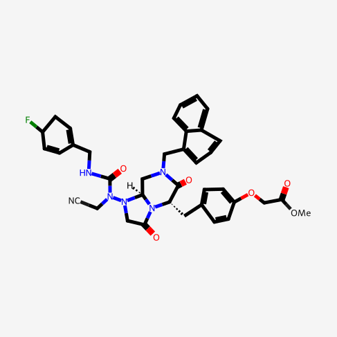 COC(=O)COc1ccc(C[C@H]2C(=O)N(Cc3cccc4ccccc34)C[C@H]3N2C(=O)CN3N(CC#N)C(=O)NCC2=CCC(F)C=C2)cc1